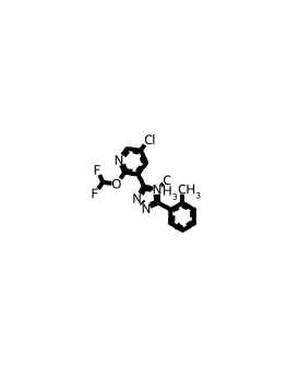 Cc1ccccc1-c1nnc(-c2cc(Cl)cnc2OC(F)F)n1C